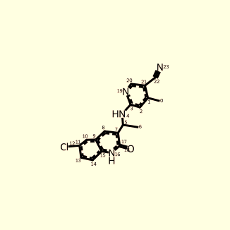 Cc1cc(NC(C)c2cc3cc(Cl)ccc3[nH]c2=O)ncc1C#N